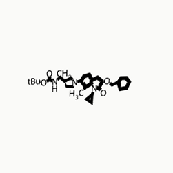 Cc1c(N2CC[C@@H]([C@H](C)NC(=O)OC(C)(C)C)C2)ccc2cc(OCc3ccccc3)c(=O)n(C3CC3)c12